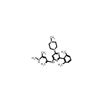 C=C(/C=C(/C)NN)Nc1cc(N2CCN(C)CC2)nc(-c2c(C)cccc2C)n1